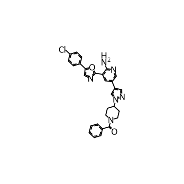 Nc1ncc(-c2cnn(C3CCN(C(=O)c4ccccc4)CC3)c2)cc1-c1ncc(-c2ccc(Cl)cc2)o1